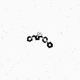 Cn1c(CN2CCCCC2)ccc1CN1CCN(c2ccccc2)CC1